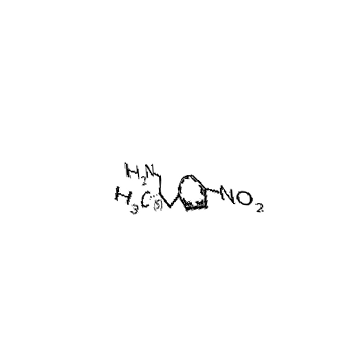 C[C@H](CN)Cc1ccc([N+](=O)[O-])cc1